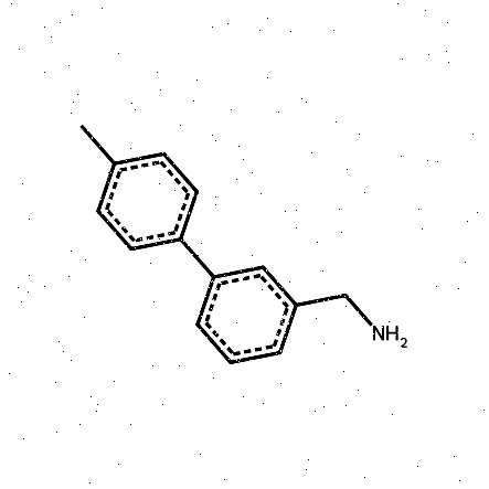 Cc1ccc(-c2cccc(CN)c2)cc1